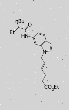 CCCCC(CC)C(=O)Nc1ccc2ccn(C/C=C/CCC(=O)OCC)c2c1